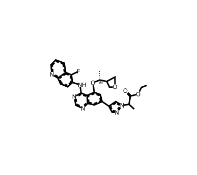 CCOC(=O)C(C)n1cc(-c2cc(O[C@H](C)C3COC3)c3c(Nc4ccc5ncccc5c4F)ncnc3c2)cn1